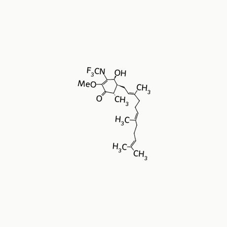 COC1=C(NC(F)(F)F)[C@@H](O)[C@@H](C/C=C(\C)CC/C=C(\C)CCC=C(C)C)[C@H](C)C1=O